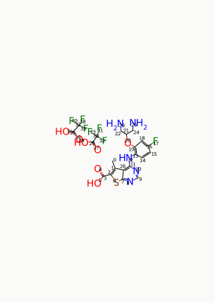 Cc1c(C(=O)O)sc2ncnc(Nc3ccc(F)cc3OC(CN)CN)c12.O=C(O)C(F)(F)F.O=C(O)C(F)(F)F